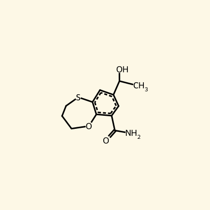 CC(O)c1cc2c(c(C(N)=O)c1)OCCCS2